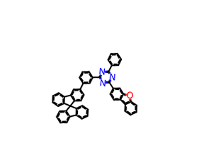 c1ccc(-c2nc(-c3cccc(-c4ccc5c(c4)-c4ccccc4C54c5ccccc5-c5ccccc54)c3)nc(-c3ccc4c(c3)oc3ccccc34)n2)cc1